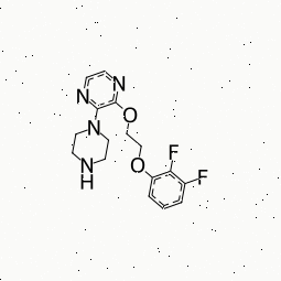 Fc1cccc(OCCOc2nccnc2N2CCNCC2)c1F